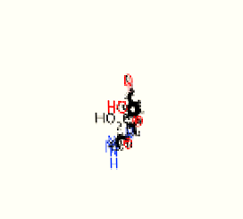 O=BCCc1ccc(OC2CN(C(=O)Cc3c[nH]nn3)C2)c(C(=O)O)c1O